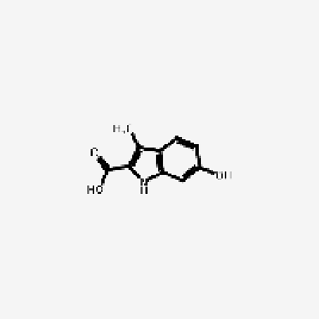 Cc1c(C(=O)O)[nH]c2cc(O)ccc12